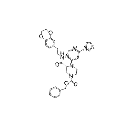 O=C(NCCc1ccc2c(c1)OCCO2)C1CN(C(=O)OCc2ccccc2)CCN1c1cc(-n2ccnc2)ncn1